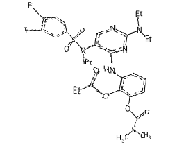 CCC(=O)Oc1c(Nc2nc(N(CC)CC)ncc2N(C(C)C)S(=O)(=O)c2ccc(F)c(F)c2)cccc1OC(=O)N(C)C